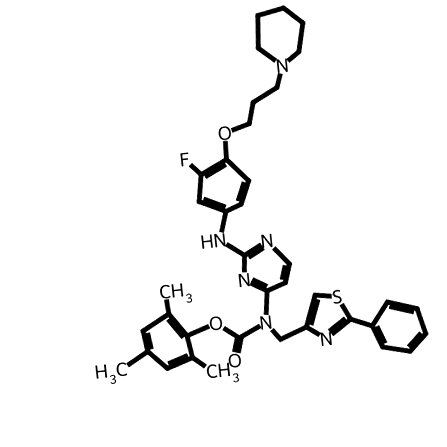 Cc1cc(C)c(OC(=O)N(Cc2csc(-c3ccccc3)n2)c2ccnc(Nc3ccc(OCCCN4CCCCC4)c(F)c3)n2)c(C)c1